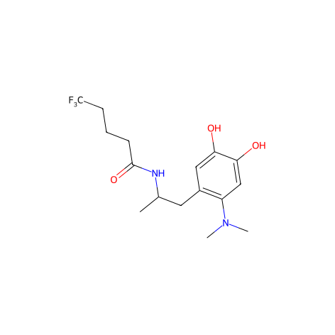 CC(Cc1cc(O)c(O)cc1N(C)C)NC(=O)CCCC(F)(F)F